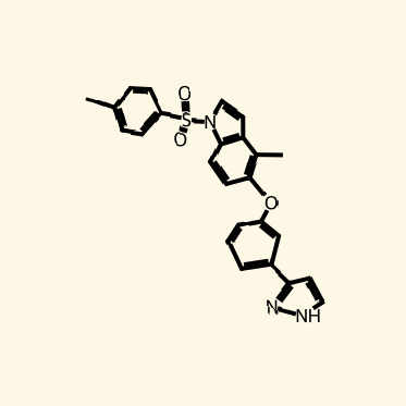 Cc1ccc(S(=O)(=O)n2ccc3c(C)c(Oc4cccc(-c5cc[nH]n5)c4)ccc32)cc1